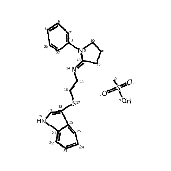 CS(=O)(=O)O.c1ccc(N2CCC/C2=N\CCSc2c[nH]c3ccccc23)cc1